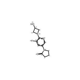 O=C1CCCN1c1cnc(N2CC(O)C2)c(F)c1